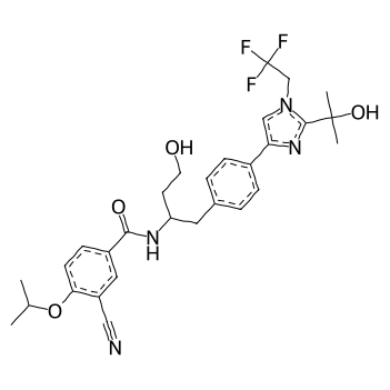 CC(C)Oc1ccc(C(=O)NC(CCO)Cc2ccc(-c3cn(CC(F)(F)F)c(C(C)(C)O)n3)cc2)cc1C#N